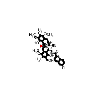 COc1c(C)c(OC)c2c(c1O)[C@@H]1[C@@H]3Cc4c(OC)c(C)c(CO)c(O)c4[C@H](CNC(=O)c4ccc5cc(Cl)ccc5n4)N3[C@@H](C#N)[C@@H](C2)N1C